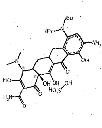 CCC(C)N(c1cc(N)c(O)c2c1CC1CC3[C@H](N(C)C)C(O)=C(C(N)=O)C(=O)[C@@]3(O)C(O)=C1C2=O)C(C)C.O=S(=O)(O)O